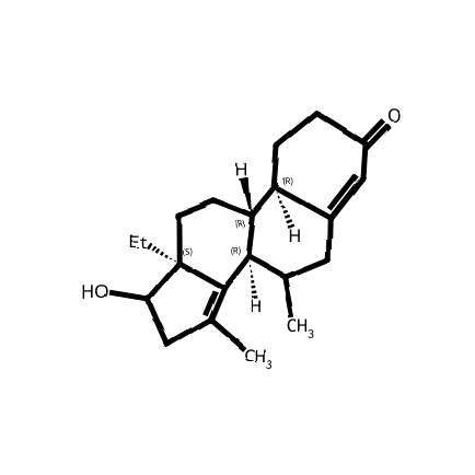 CC[C@]12CC[C@H]3[C@H](C1=C(C)CC2O)C(C)CC1=CC(=O)CC[C@@H]13